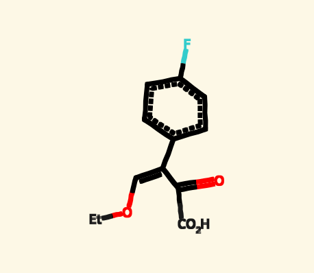 CCOC=C(C(=O)C(=O)O)c1ccc(F)cc1